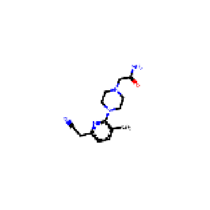 Cc1ccc(CC#N)nc1N1CCN(CC(N)=O)CC1